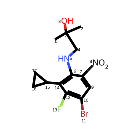 CC(C)(O)CNc1c([N+](=O)[O-])cc(Br)c(F)c1C1CC1